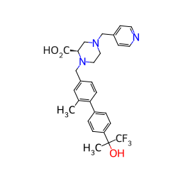 Cc1cc(CN2CCN(Cc3ccncc3)C[C@@H]2C(=O)O)ccc1-c1ccc(C(C)(O)C(F)(F)F)cc1